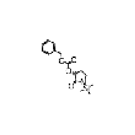 C[Si](C)(C)N1CC[C@@H](OC(=O)OCc2ccccc2)C1=O